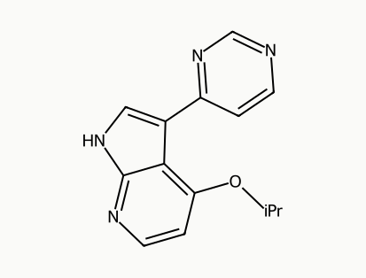 CC(C)Oc1ccnc2[nH]cc(-c3ccncn3)c12